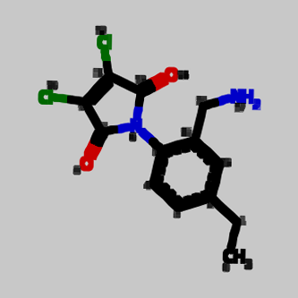 CCc1ccc(N2C(=O)C(Cl)=C(Cl)C2=O)c(CN)c1